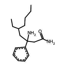 CCCCC(CC)CC(N)(CC(N)=O)c1ccccc1